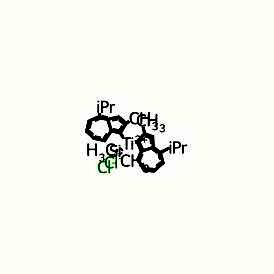 Cc1cc2c(C(C)C)ccccc-2[c]1[Ti+2]([c]1c(C)cc2c(C(C)C)ccccc1-2)=[Si](C)C.[Cl-].[Cl-]